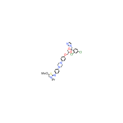 COC1CN(C(C)C)C(=Nc2ccc(N3CCN(c4ccc(OCC5COC(Cn6ccnc6)(c6ccc(Cl)cc6Cl)O5)cc4)CC3)cc2)S1